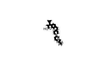 CC(C(=O)O)C(c1ccc2c(c1)OC1(CC2)CCN(c2ccc3nc(C(F)(F)F)cn3n2)CC1)C1CC1